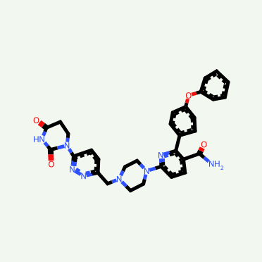 NC(=O)c1ccc(N2CCN(Cc3ccc(N4CCC(=O)NC4=O)nn3)CC2)nc1-c1ccc(Oc2ccccc2)cc1